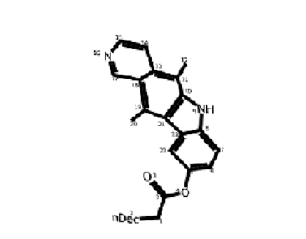 CCCCCCCCCCCC(=O)Oc1ccc2[nH]c3c(C)c4ccncc4c(C)c3c2c1